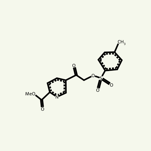 COC(=O)c1ccc(C(=O)COS(=O)(=O)c2ccc(C)cc2)cn1